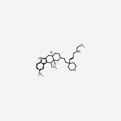 C[C@H]1c2c([nH]c3ccc(C(F)(F)F)cc23)C[C@H]2CCN(CCC3(/C=C/CNCC(F)(F)F)CCOCC3)C[C@@H]21